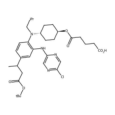 CC(C)CN(c1ccc(C(C)CC(=O)OC(C)(C)C)cc1Nc1cnc(Cl)cn1)[C@H]1CC[C@H](OC(=O)CCCC(=O)O)CC1